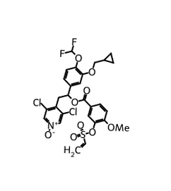 C=CS(=O)(=O)Oc1cc(C(=O)OC(Cc2c(Cl)c[n+]([O-])cc2Cl)c2ccc(OC(F)F)c(OCC3CC3)c2)ccc1OC